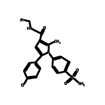 Cc1c(C(=O)NCC(C)C)cc(-c2ccc(Cl)cc2)n1-c1ccc(S(N)(=O)=O)cc1